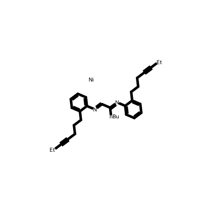 CCC#CCCCc1ccccc1/N=C/C(CCCC)=N/c1ccccc1CCCC#CCC.[Ni]